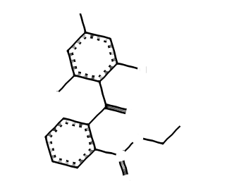 CCO[PH](=O)c1ccccc1C(=O)c1c(Cl)cc(Cl)cc1Cl